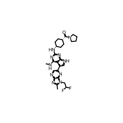 CNc1nc(N[C@H]2CC[C@@H](C(=O)N3CCCC3)CC2)nc2[nH]cc(-c3cnc4nc(C)n(CC(F)F)c4n3)c12